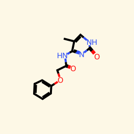 Cc1c[nH]c(=O)nc1NC(=O)COc1ccccc1